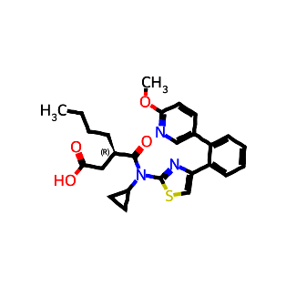 CCCC[C@H](CC(=O)O)C(=O)N(c1nc(-c2ccccc2-c2ccc(OC)nc2)cs1)C1CC1